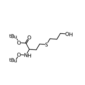 CC(C)(C)ONC(CCSCCCO)C(=O)OC(C)(C)C